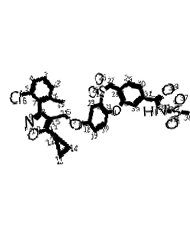 Cc1cccc(Cl)c1-c1noc(C2CC2)c1COc1ccc2c(c1)S(=O)(=O)Cc1ccc(C(=O)NS(C)(=O)=O)cc1O2